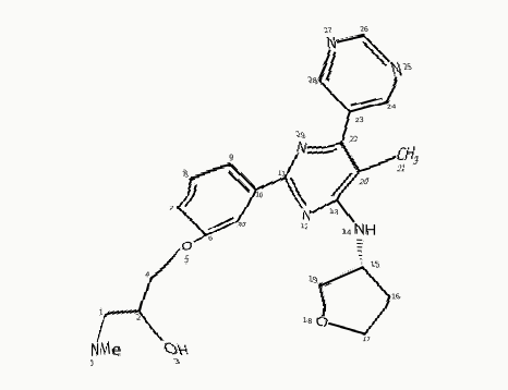 CNCC(O)COc1cccc(-c2nc(N[C@@H]3CCOC3)c(C)c(-c3cncnc3)n2)c1